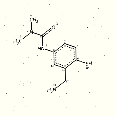 CN(C)C(=O)Nc1ccc(S)c(CN)c1